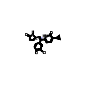 O=C1CC[C@H](/C=C(\c2ccc(Cl)c(Cl)c2)c2ccc(C3CC3)c(=O)[nH]2)N1